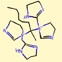 CCCCC(C)([N+]1(C2=NCCN2)C=NCC1)[N+]1(C2=NCCN2)C=NCC1